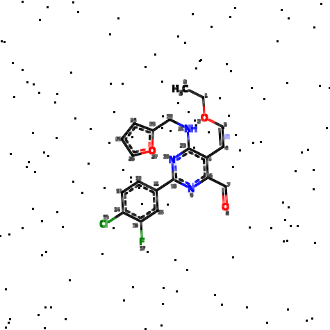 CCO/C=C\c1c(C=O)nc(-c2ccc(Cl)c(F)c2)nc1NCc1ccco1